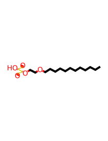 CCCCCCCCCCCCOCCOS(=O)(=O)O